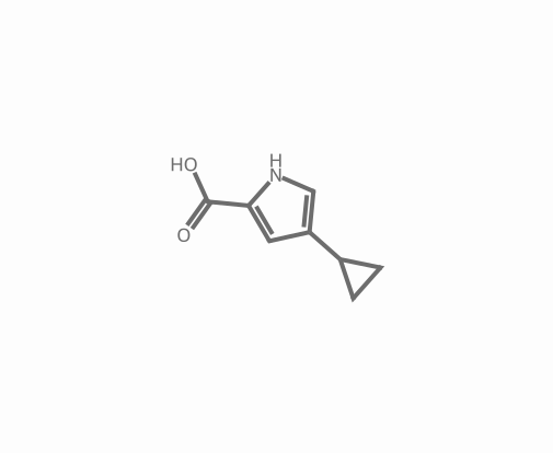 O=C(O)c1cc(C2CC2)c[nH]1